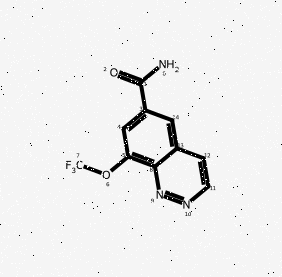 NC(=O)c1cc(OC(F)(F)F)c2nnccc2c1